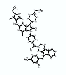 Cc1nn(CC(F)(F)F)c(C)c1Nc1nc(C)c2c(n1)n(C1CCN(CC(C)(C)C)CC1)c(=O)n2-c1ccc(C(=O)N2CCc3c(n(Cc4ccc(C#N)cc4F)c4ncccc34)C2)nc1